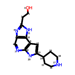 OCCc1nc2cnc3c(c2[nH]1)C=C(C1CCNCC1)[N]3